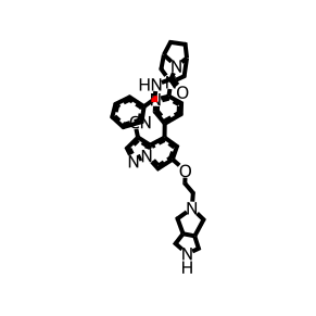 N#Cc1cnn2cc(OCCN3CC4CNCC4C3)cc(-c3ccc(N4CC5CCC(C4)N5C(=O)NCc4ccccc4)nc3)c12